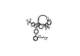 COCCOc1ccccc1N1CCN(C(=O)[C@]2(Oc3csc(C(F)(F)F)c3)CCCN3C(=O)c4c(C(F)(F)F)ccnc4OCCCC/C=C\C[C@@H]32)CC1